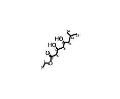 CCOC(=O)CC(O)CC(O)CC(C)C